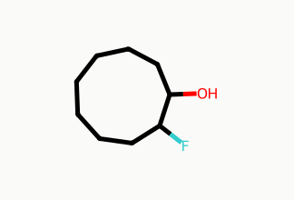 OC1CCCCCCCC1F